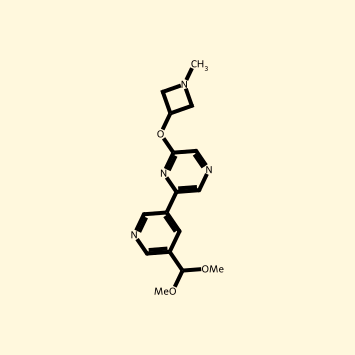 COC(OC)c1cncc(-c2cncc(OC3CN(C)C3)n2)c1